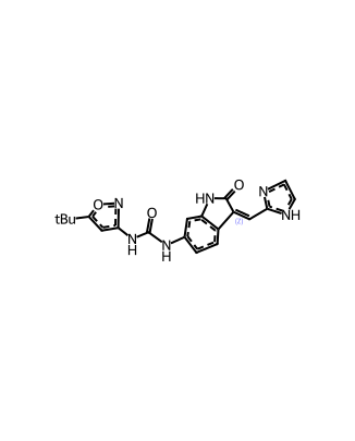 CC(C)(C)c1cc(NC(=O)Nc2ccc3c(c2)NC(=O)/C3=C\c2ncc[nH]2)no1